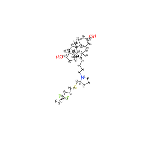 C[C@]1(CCCCCN2CCC[C@H]2CSCCCC(F)(F)C(F)(F)F)Cc2cc(O)ccc2[C@H]2CC[C@]3(C)[C@@H](O)CC[C@H]3[C@@H]21